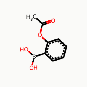 CC(=O)Oc1ccccc1B(O)O